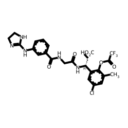 Cc1cc(Cl)cc([C@@H](CC(=O)O)NC(=O)CNC(=O)c2cccc(NC3=NCCN3)c2)c1OC(=O)C(F)(F)F